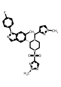 Cc1cc2c(cnn2-c2ccc(F)cc2)cc1[C@H]1CN(S(=O)(=O)c2cnn(C)n2)CCN1Cc1ccn(C)n1